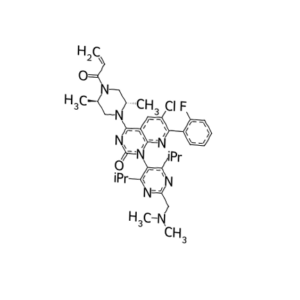 C=CC(=O)N1C[C@H](C)N(c2nc(=O)n(-c3c(C(C)C)nc(CN(C)C)nc3C(C)C)c3nc(-c4ccccc4F)c(Cl)cc23)C[C@H]1C